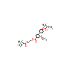 C=C(C)C(=O)OCCCOC(=O)c1ccc(-c2ccc(OC(=O)C(=C)C)cc2)c(SC)c1